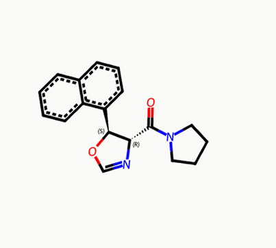 O=C([C@@H]1N=CO[C@H]1c1cccc2ccccc12)N1CCCC1